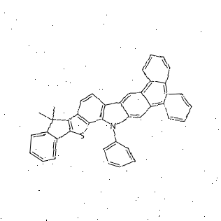 CC1(C)c2ccccc2-c2sc3c(ccc4c5cc6c7ccccc7c7ccccc7c6cc5n(-c5ccccc5)c43)c21